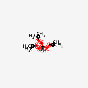 CCCC(COC(=O)OOC(=O)c1ccc(C)c(C)c1)(COC(=O)OOC(=O)c1ccc(C)c(C)c1)COC(=O)OOC(=O)c1ccc(C)c(C)c1